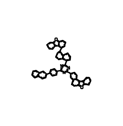 c1ccc2cc(-c3ccc(-c4nc(-c5ccc6c(ccc7oc8ccccc8c76)c5)nc(-c5cccc6c(-c7cccc8oc9ccccc9c78)cccc56)n4)cc3)ccc2c1